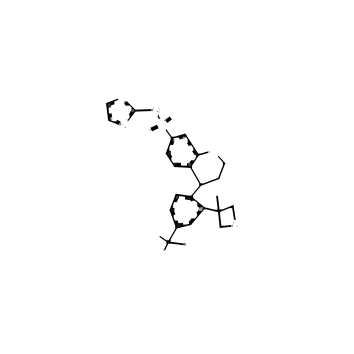 O=S(=O)(Nc1nccs1)c1ccc2c(c1)OCCC2c1ccc(C(F)(F)F)cc1C1(F)CNC1